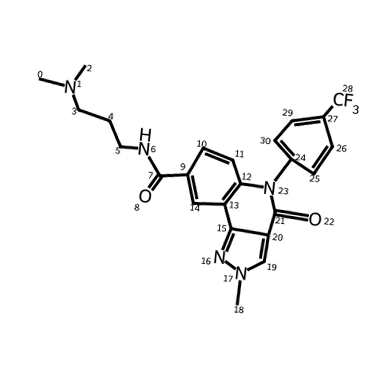 CN(C)CCCNC(=O)c1ccc2c(c1)c1nn(C)cc1c(=O)n2-c1ccc(C(F)(F)F)cc1